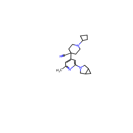 Cc1cc(C2(C#N)CCN(C3CCC3)CC2)cc(N2CC3CC3C2)n1